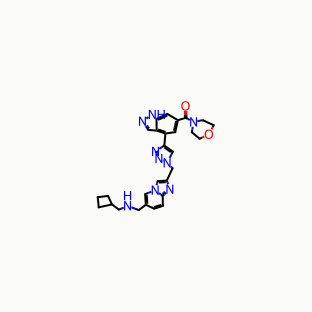 O=C(c1cc(-c2cn(Cc3cn4cc(CNCC5CCC5)ccc4n3)nn2)c2cn[nH]c2c1)N1CCOCC1